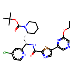 CCOc1cncc(-c2cnc(C(=O)N[C@@H](C[C@H]3CCCCN3C(=O)OC(C)(C)C)c3cc(Cl)ccn3)s2)n1